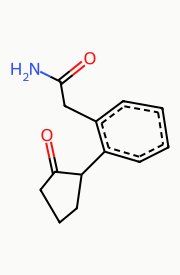 NC(=O)Cc1ccccc1C1CCCC1=O